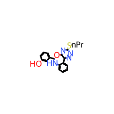 CCCSc1nnc2c(n1)OC(c1cccc(O)c1)Nc1ccccc1-2